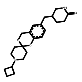 O=C1CCC(Cc2ccc3c(c2)COC2(CCN(C4CCC4)CC2)O3)CN1